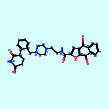 O=C1CCC(c2ccccc2CN2CCN(CCNC(=O)c3cc4c(o3)C(=O)c3ccccc3C4=O)CC2)C(=O)N1